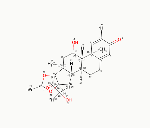 [2H]C1=C[C@@]2(C)C(=CC1=O)CC[C@@H]1[C@@H]2[C@@H](O)C[C@@]2(C)[C@H]1C[C@H]1OC(CCC)O[C@]12C(=O)C([2H])([2H])O